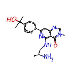 C[C@H](N)CNc1nc(-c2ccc(C(C)(C)O)cc2)cc2ncn(C)c(=O)c12